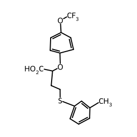 Cc1cccc(SCCC(Oc2ccc(OC(F)(F)F)cc2)C(=O)O)c1